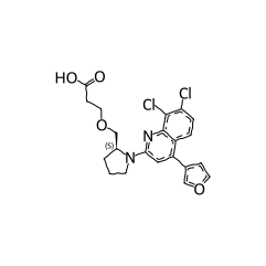 O=C(O)CCOC[C@@H]1CCCN1c1cc(-c2ccoc2)c2ccc(Cl)c(Cl)c2n1